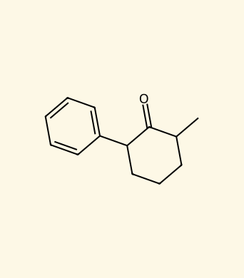 CC1CCCC(c2ccccc2)C1=O